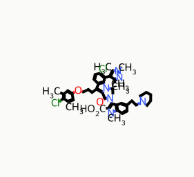 Cc1cc(OCCCc2c3n(c4c(-c5c(C)nn(C)c5C)c(Cl)ccc24)[C@H](C)CN(c2c(C(=O)O)n(C)c4ccc(CCN5CCCCC5)cc24)C3=O)cc(C)c1Cl